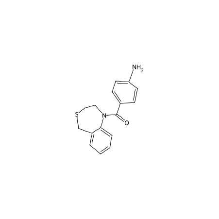 Nc1ccc(C(=O)N2CCSCc3ccccc32)cc1